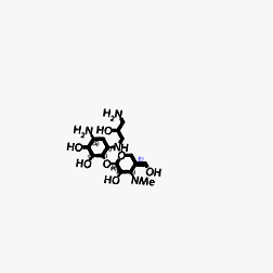 CN[C@H]1/C(=C\O)CO[C@H](O[C@H]2[C@H](NCC(O)CN)C[C@H](N)C(O)[C@@H]2O)[C@@H]1O